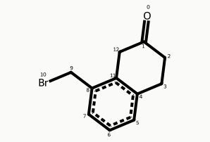 O=C1CCc2cccc(CBr)c2C1